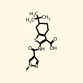 CC(C)(C)C1CCc2c(sc(NC(=O)c3cnn(I)c3)c2C(=O)O)C1